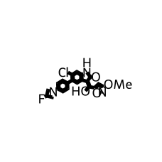 COc1cc(C(O)=C2C(=O)Nc3cc(Cl)c(-c4ccc(N5CC(F)C5)cc4)cc32)on1